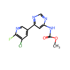 COC(=O)Nc1cc(-c2cnc(F)c(Cl)c2)ncn1